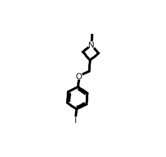 CN1CC(COc2ccc(I)cc2)C1